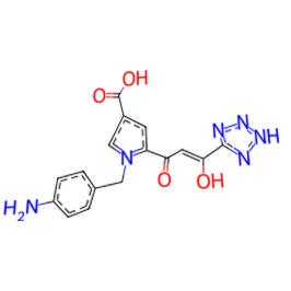 Nc1ccc(Cn2cc(C(=O)O)cc2C(=O)C=C(O)c2nn[nH]n2)cc1